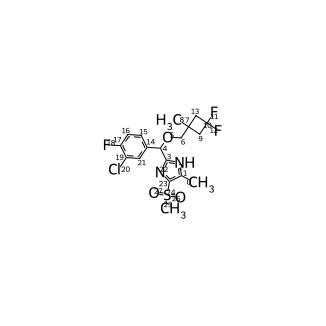 Cc1[nH]c(C(OCC2(C)CC(F)(F)C2)c2ccc(F)c(Cl)c2)nc1S(C)(=O)=O